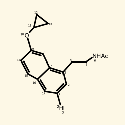 [2H]c1cc(CCNC(C)=O)c2cc(OC3CC3)ccc2c1